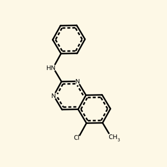 Cc1ccc2nc(Nc3ccccc3)ncc2c1Cl